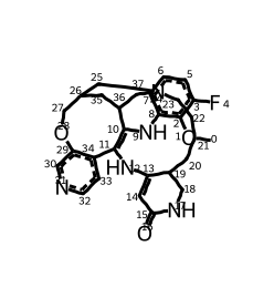 COc1c(F)cccc1NC1=C2NC3=CC(=O)NCC3CCCCN3CC(COc4cnccc42)CC1C3